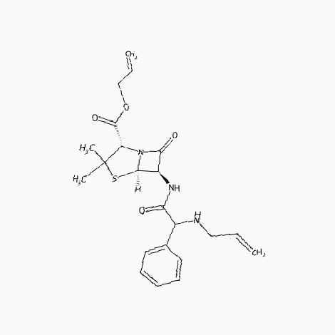 C=CCNC(C(=O)N[C@@H]1C(=O)N2[C@@H]1SC(C)(C)[C@@H]2C(=O)OCC=C)c1ccccc1